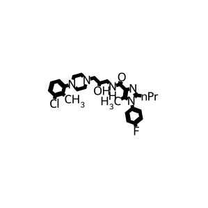 CCCc1nc(C(=O)NCC(O)CN2CCN(c3cccc(Cl)c3C)CC2)c(C)n1-c1ccc(F)cc1